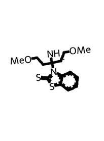 COCCC(N)(CCOC)n1c(=S)sc2ccccc21